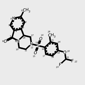 Cc1cc2c(cn1)C(=O)N1CCN(S(=O)(=O)c3ccc(OC(F)F)cc3C)CC21